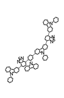 c1ccc(-n2c3ccccc3c3cc(-c4ccc(-c5ccc6c(c5)c5ccc(-c7ccc(-c8ccc(-c9ccc%10c(c9)c9ccccc9n%10-c9ccccc9)c9nsnc89)c(-n8c9ccccc9c9ccccc98)c7)cc5n6-c5ccccc5)c5nsnc45)ccc32)cc1